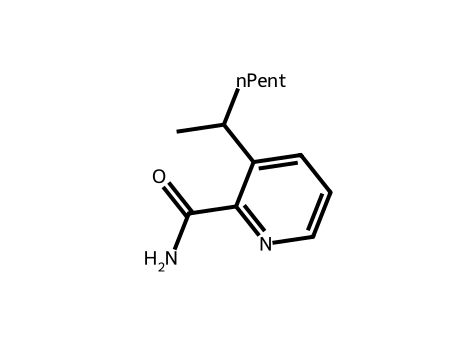 CCCCCC(C)c1cccnc1C(N)=O